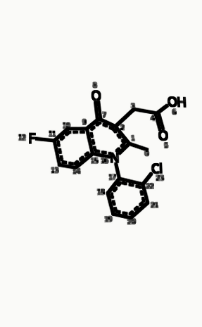 Cc1c(CC(=O)O)c(=O)c2cc(F)ccc2n1-c1ccccc1Cl